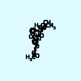 CC(=O)OCCOc1ccc(C(=O)N2CC(=O)N(CC(=O)OC(C)(C)C)Cc3ccccc32)c(Cl)c1